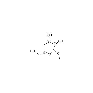 COC1O[C@H](CO)C[C@H](O)[C@H]1O